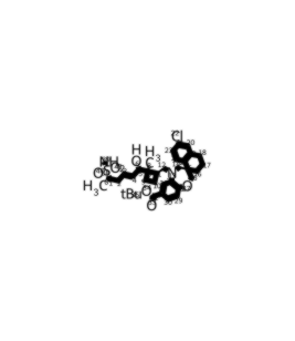 CC(C/C=C/C(O)[C@@]1(C)CC[C@@H]1CN1C[C@@]2(CCCc3cc(Cl)ccc32)COc2ccc(C(=O)OC(C)(C)C)cc21)S(N)(=O)=O